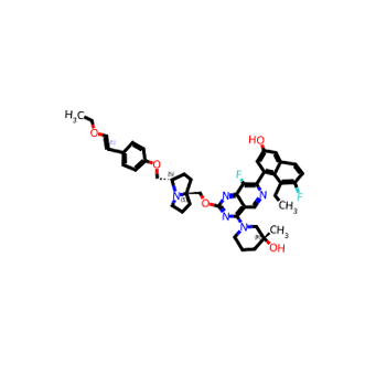 CCO/C=C/c1ccc(OC[C@@H]2CC[C@]3(COc4nc(N5CCC[C@@](C)(O)C5)c5cnc(-c6cc(O)cc7ccc(F)c(CC)c67)c(F)c5n4)CCCN23)cc1